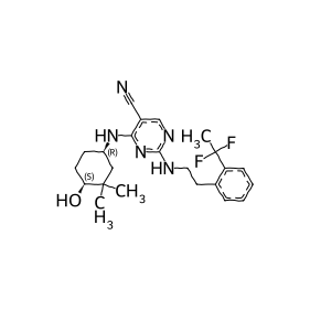 CC(F)(F)c1ccccc1CCNc1ncc(C#N)c(N[C@@H]2CC[C@H](O)C(C)(C)C2)n1